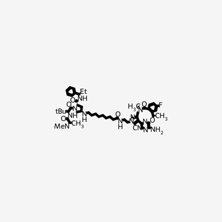 CC[C@@H](NC(=O)[C@@H]1C[C@H](NCCCCCCCCC(=O)NCCn2nc3c(c2C#N)-c2cnc(N)c(n2)O[C@H](C)c2cc(F)ccc2C(=O)N(C)C3)CN1C(=O)C(NC(=O)[C@H](C)NC)C(C)(C)C)c1ccccc1